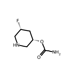 NC(=O)O[C@@H]1CNC[C@H](F)C1